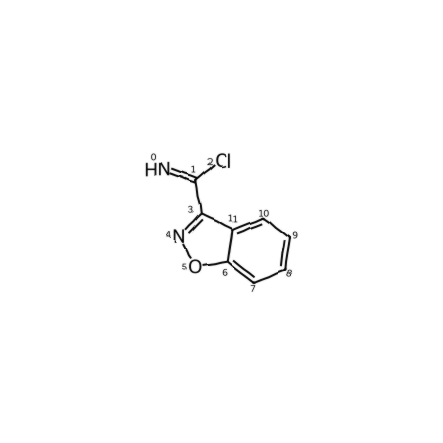 N=C(Cl)c1noc2ccccc12